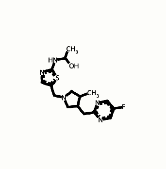 CC(O)Nc1ncc(CN2CC(C)C(Cc3ncc(F)cn3)C2)s1